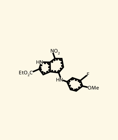 CCOC(=O)c1cc2c(Nc3ccc(OC)c(F)c3)ccc([N+](=O)[O-])c2[nH]1